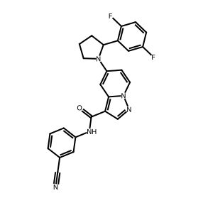 N#Cc1cccc(NC(=O)c2cnn3ccc(N4CCCC4c4cc(F)ccc4F)cc23)c1